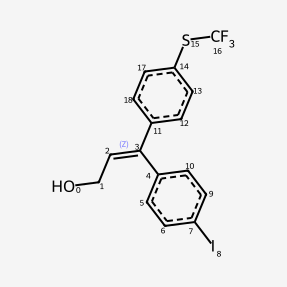 OC/C=C(\c1ccc(I)cc1)c1ccc(SC(F)(F)F)cc1